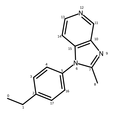 CCc1ccc(-n2c(C)nc3cnccc32)cc1